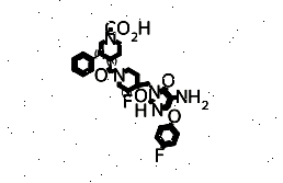 Nc1c(Oc2ccc(F)cc2)ncn(CC2(O)CCN(C(=O)[C@@H]3CCN(C(=O)O)C[C@H]3c3ccccc3)C[C@@H]2F)c1=O